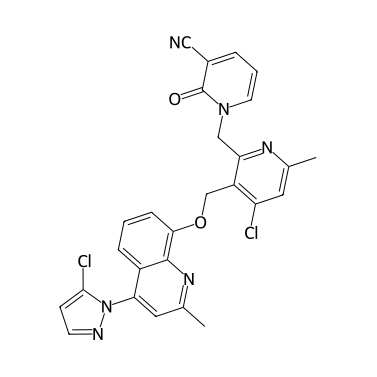 Cc1cc(Cl)c(COc2cccc3c(-n4nccc4Cl)cc(C)nc23)c(Cn2cccc(C#N)c2=O)n1